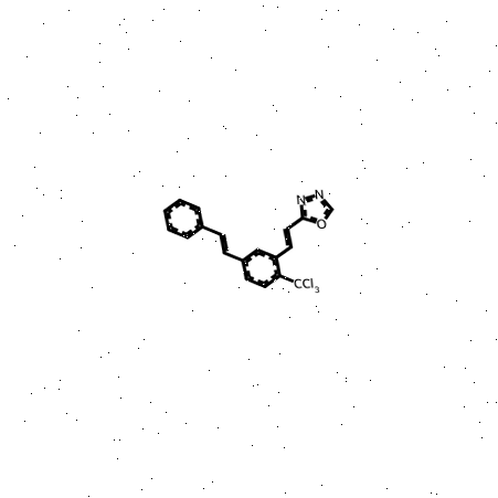 ClC(Cl)(Cl)c1ccc(C=Cc2ccccc2)cc1C=Cc1nnco1